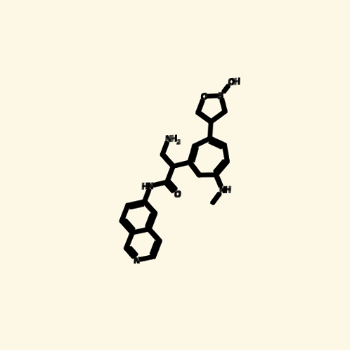 CNC1=CC=C(C2COB(O)C2)C=C(C(CN)C(=O)Nc2ccc3cnccc3c2)C1